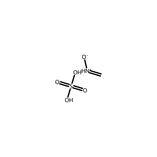 C=[NH+][O-].O=S(=O)(O)O